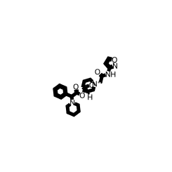 O=C(C[N+]12CCC(CC1)[C@@H](OC(=O)C(c1ccccc1)N1CCCCC1)C2)Nc1ccon1